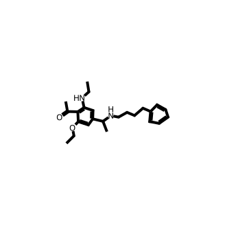 CCNc1cc(C(C)NCCCCc2ccccc2)cc(OCC)c1C(C)=O